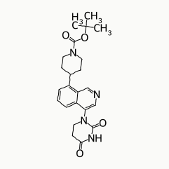 CC(C)(C)OC(=O)N1CCC(c2cccc3c(N4CCC(=O)NC4=O)cncc23)CC1